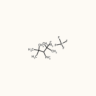 CC(C)(C)C([PH3+])C(C)(C)C.F[B-](F)(F)F